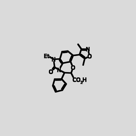 CCn1c(=O)n2c3c(c(-c4c(C)noc4C)ccc31)OC(C(=O)O)C2c1ccccc1